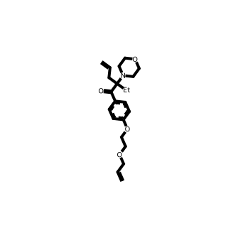 C=CCOCCOc1ccc(C(=O)C(CC)(CC=C)N2CCOCC2)cc1